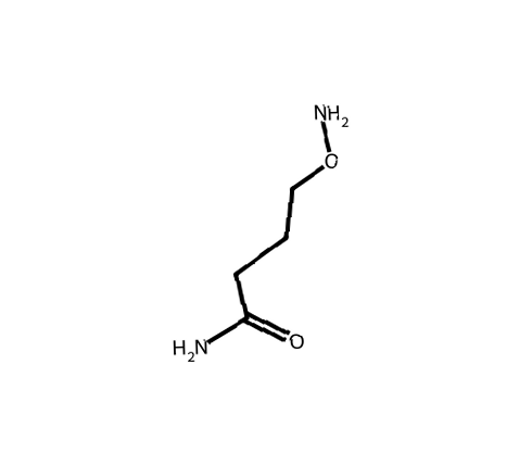 NOCCCC(N)=O